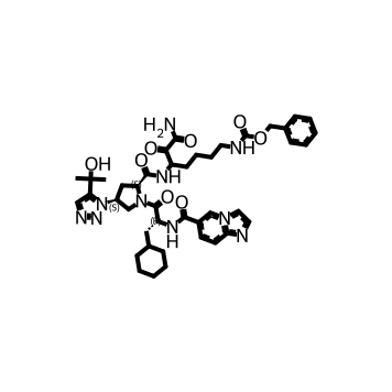 CC(C)(O)c1cnnn1[C@H]1C[C@@H](C(=O)NC(CCCCNC(=O)OCc2ccccc2)C(=O)C(N)=O)N(C(=O)[C@@H](CC2CCCCC2)NC(=O)c2ccc3nccn3c2)C1